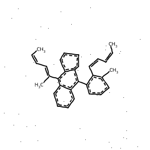 C/C=C\C=C/c1c(C)cccc1-c1c2ccccc2c(/C(C)=C/C=C\C)c2ccccc12